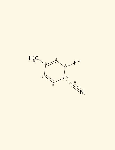 CC1=CC(F)[C@H](C#N)C=C1